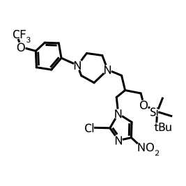 CC(C)(C)[Si](C)(C)OCC(CN1CCN(c2ccc(OC(F)(F)F)cc2)CC1)Cn1cc([N+](=O)[O-])nc1Cl